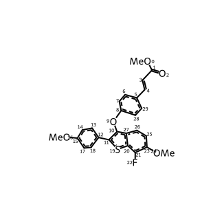 COC(=O)C=Cc1ccc(Oc2c(-c3ccc(OC)cc3)sc3c(F)c(OC)ccc23)cc1